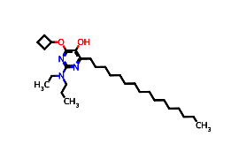 CCCCCCCCCCCCCCCCc1nc(N(CC)CCC)nc(OC2CCC2)c1O